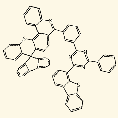 c1ccc(-c2nc(-c3cccc(-c4nc5ccccc5c5c6c(ccc45)C4(c5ccccc5S6)c5ccccc5-c5ccccc54)c3)nc(-c3cccc4c3sc3ccccc34)n2)cc1